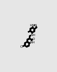 Cc1cc2[nH]ncc2cc1NCc1cc2cc(Cl)ccc2[nH]c1=O